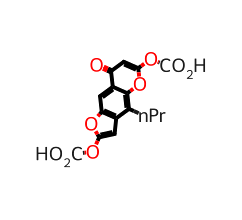 CCCc1c2cc(OC(=O)O)oc2cc2c(=O)cc(OC(=O)O)oc12